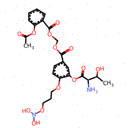 CC(=O)Oc1ccccc1C(=O)OCOC(=O)c1ccc(OCCCON(O)O)c(OC(=O)C(N)C(C)O)c1